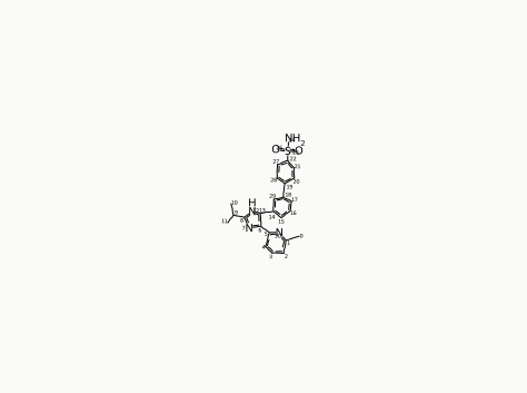 Cc1cccc(-c2nc(C(C)C)[nH]c2-c2cccc(-c3ccc(S(N)(=O)=O)cc3)c2)n1